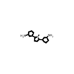 Cn1c(-c2cccc(N)c2)ccc1-c1cccc(N)c1